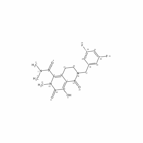 CN(C)C(=O)c1c2c(c(O)c(=O)n1C)C(=O)N(Cc1cc(F)cc(F)c1)CC2